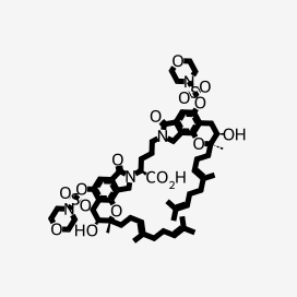 CC(C)=CCC/C(C)=C/CC[C@@]1(C)Oc2c(c(OS(=O)(=O)N3CCOCC3)cc3c2CN(CCC[C@@H](C(=O)O)N2Cc4c(cc(OS(=O)(=O)N5CCOCC5)c5c4O[C@](C)(CC/C=C(\C)CCC=C(C)C)[C@@H](O)C5)C2=O)C3=O)C[C@@H]1O